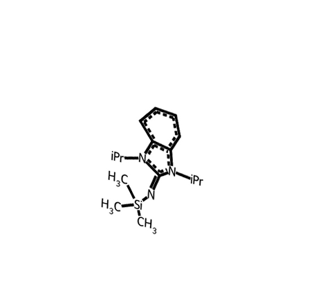 CC(C)n1c(=N[Si](C)(C)C)n(C(C)C)c2ccccc21